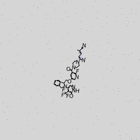 C=N/C(=C\C=C(/C)C#N)N1CCN(C(=O)c2cc(OCC3c4ccccc4CN3c3cn[nH]c(=O)c3C(F)(F)F)cnc2F)CC1